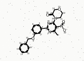 Cc1nc(-c2cccc(OCc3ccccc3)c2)nc(N2CCOCC2=O)c1[N+](=O)[O-]